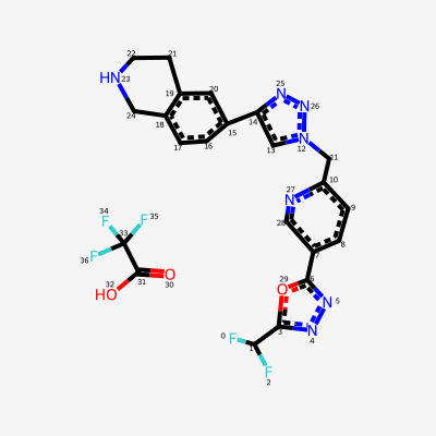 FC(F)c1nnc(-c2ccc(Cn3cc(-c4ccc5c(c4)CCNC5)nn3)nc2)o1.O=C(O)C(F)(F)F